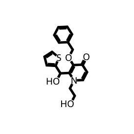 O=c1ccn(CCO)c(C(O)c2cccs2)c1OCc1ccccc1